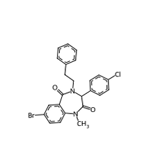 CN1C(=O)C(c2ccc(Cl)cc2)N(CCc2ccccc2)C(=O)c2cc(Br)ccc21